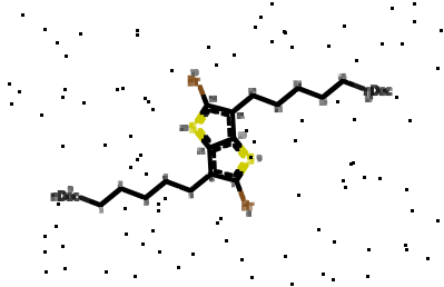 CCCCCCCCCCCCCCCc1c(Br)sc2c(CCCCCCCCCCCCCCC)c(Br)sc12